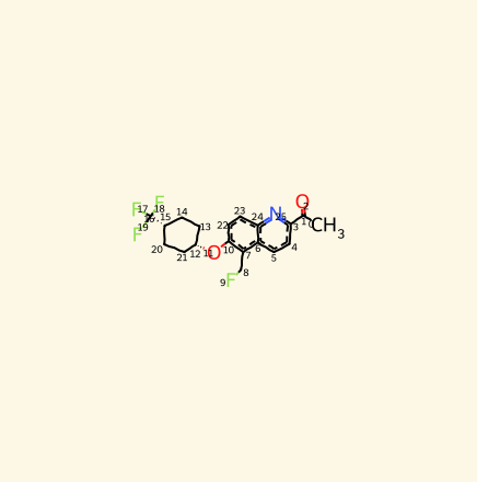 CC(=O)c1ccc2c(CF)c(O[C@H]3CC[C@@H](C(F)(F)F)CC3)ccc2n1